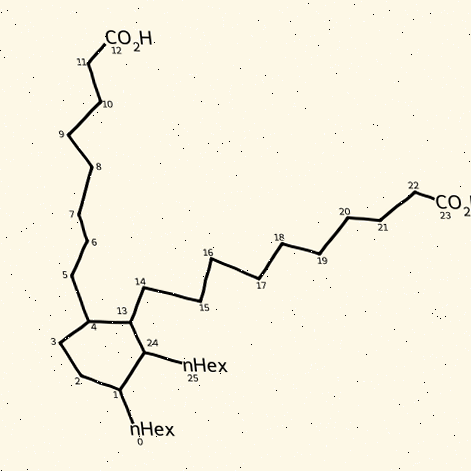 CCCCCCC1CCC(CCCCCCCC(=O)O)C(CCCCCCCCCC(=O)O)C1CCCCCC